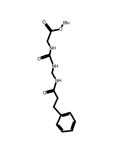 CC(C)(C)OC(=O)CNC(=O)NCNC(=O)CCc1ccccc1